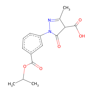 CC1=NN(c2cccc(C(=O)OC(C)C)c2)C(=O)C1C(=O)O